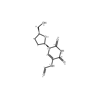 O=CNc1cn([C@H]2CC[C@@H](CO)O2)c(=O)[nH]c1=O